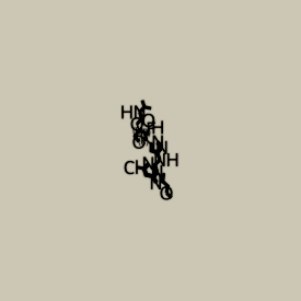 COCc1cn2c(Nc3cc([C@H]4OC[C@@H](OC(=O)NC(C)C)[C@@H]4F)[nH]n3)nc(Cl)cc2n1